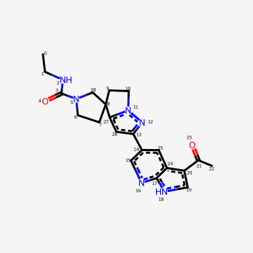 CCNC(=O)N1CCC2(CCn3nc(-c4cnc5[nH]cc(C(C)=O)c5c4)cc32)C1